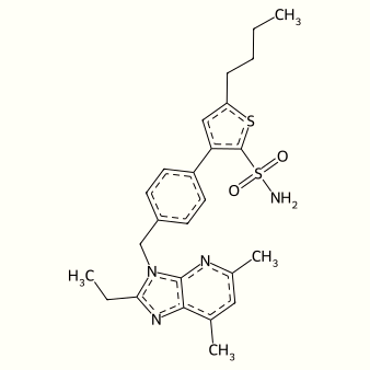 CCCCc1cc(-c2ccc(Cn3c(CC)nc4c(C)cc(C)nc43)cc2)c(S(N)(=O)=O)s1